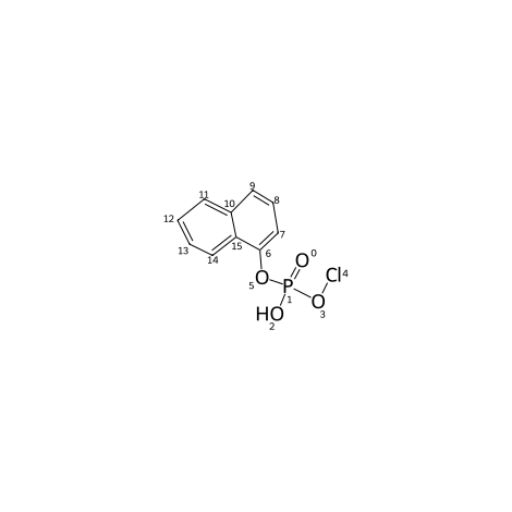 O=P(O)(OCl)Oc1cccc2ccccc12